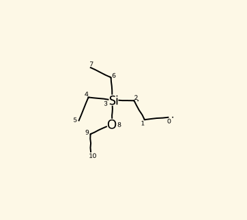 [CH2]C[CH][Si](CC)(CC)OCC